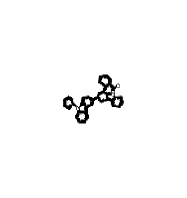 O=c1c2ccccc2c2cc(-c3ccc4c(c3)c3ccccc3n4-c3ccccc3)cc3c4ccccc4n1c23